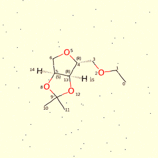 CCOC[C@H]1OC[C@@H]2OC(C)(C)O[C@@H]21